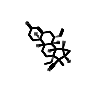 C=C[C@H]1CC2=CC(=O)CC[C@@H]2[C@H]2CC[C@@]3(CC)[C@@H]([C@@H]4C[C@@H]4[C@]3(C)C#N)[C@@H]21